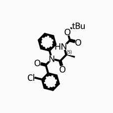 C[C@H](NC(=O)OC(C)(C)C)C(=O)N(C(=O)c1ccccc1Cl)c1ccccc1